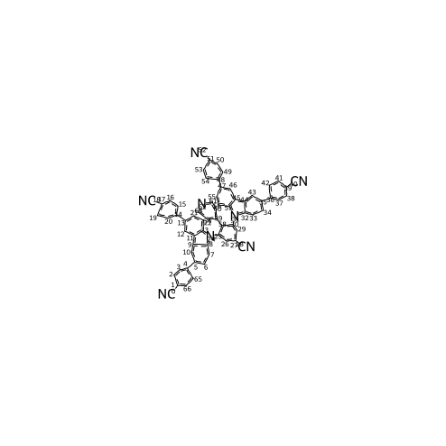 N#Cc1ccc(-c2ccc3c(c2)c2cc(-c4ccc(C#N)cc4)ccc2n3-c2cc(C#N)cc(-n3c4ccc(-c5ccc(C#N)cc5)cc4c4cc(-c5ccc(C#N)cc5)ccc43)c2-c2ccncc2)cc1